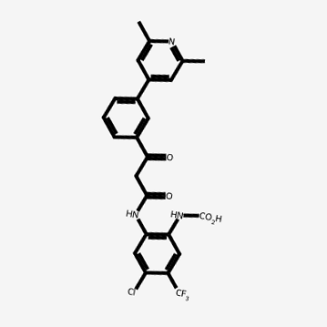 Cc1cc(-c2cccc(C(=O)CC(=O)Nc3cc(Cl)c(C(F)(F)F)cc3NC(=O)O)c2)cc(C)n1